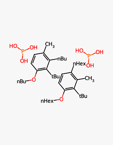 CCCCCCOc1ccc(CCCCCC)c(C)c1C(C)(C)C.CCCCOc1ccc(C)c(CCCC)c1C(C)(C)C.OP(O)O.OP(O)O